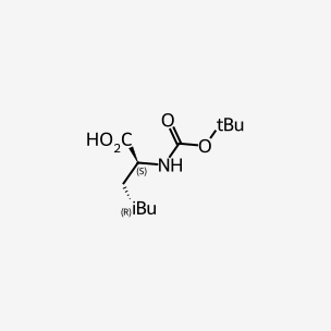 CC[C@@H](C)C[C@H](NC(=O)OC(C)(C)C)C(=O)O